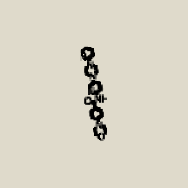 O=C(Nc1ccc(N2CCN(c3ccccn3)CC2)cn1)c1ccc(N2CCOCC2)cc1